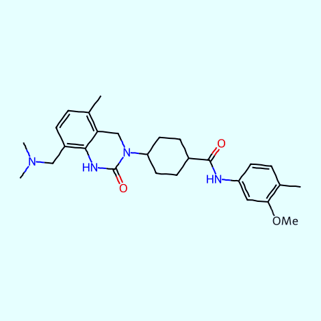 COc1cc(NC(=O)C2CCC(N3Cc4c(C)ccc(CN(C)C)c4NC3=O)CC2)ccc1C